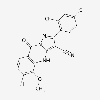 COc1c(Cl)ccc2c(=O)n3nc(-c4ccc(Cl)cc4Cl)c(C#N)c3[nH]c12